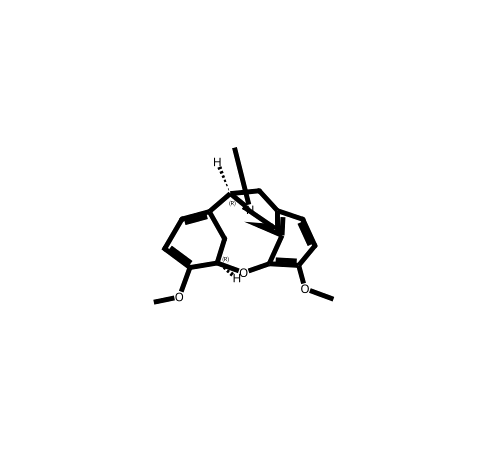 COC1=CC=C2C[C@H]1Oc1c(OC)ccc3c1CCCN(C)[C@@H]2C3